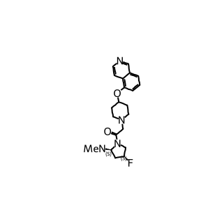 CN[C@@H]1C[C@H](F)CN1C(=O)CN1CCC(Oc2cccc3cnccc23)CC1